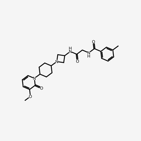 COc1cccn(C2CCC(N3CC(NC(=O)CNC(=O)c4cccc(C)c4)C3)CC2)c1=O